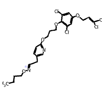 CCCCO/N=C/Cc1ccc(OCCCOc2c(Cl)cc(OCC=C(Cl)Cl)cc2Cl)nc1